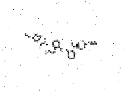 COc1c(CNC(=O)c2cc(C3CC3)nn2C)cccc1OCc1ccccc1C(=O)N1CCN(SC)CC1